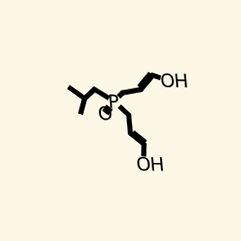 CC(C)CP(=O)(CC=CO)CC=CO